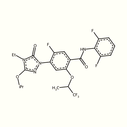 CCn1c(OC(C)C)nn(-c2cc(OC(C)C(F)(F)F)c(C(=O)Nc3c(F)cccc3F)cc2F)c1=O